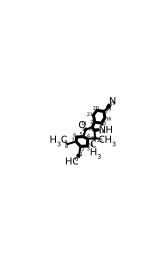 C#Cc1cc2c(cc1CC)C(=O)c1c([nH]c3cc(C#N)ccc13)C2(C)C